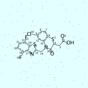 O=C(O)CC1Sc2ccc(Cl)cc2N(Cc2nc3c(F)ccc(F)c3s2)C1=O